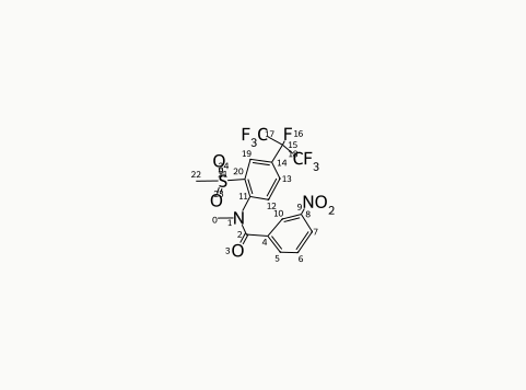 CN(C(=O)c1cccc([N+](=O)[O-])c1)c1ccc(C(F)(C(F)(F)F)C(F)(F)F)cc1S(C)(=O)=O